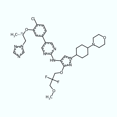 COCC(F)(F)COc1nn(C2CCC(N3CCOCC3)CC2)cc1Nc1ncc(-c2ccc(Cl)c(O[C@@H](C)Cn3cncn3)c2)cn1